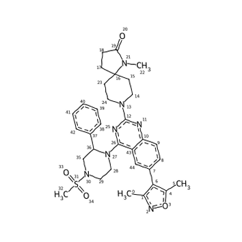 Cc1noc(C)c1-c1ccc2nc(N3CCC4(CCC(=O)N4C)CC3)nc(N3CCN(S(C)(=O)=O)CC3c3ccccc3)c2c1